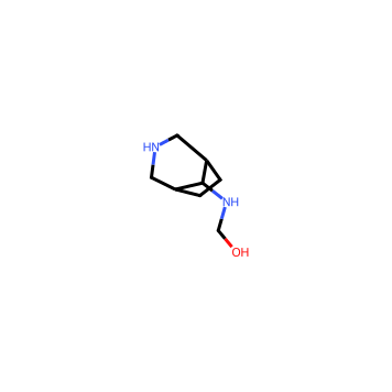 OCNC1C2CCC1CNC2